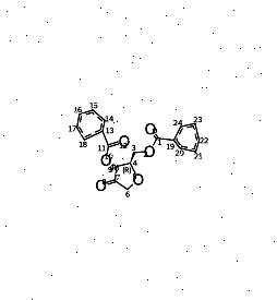 O=C(OC[C@H]1OCC(=O)[C@@H]1OC(=O)c1ccccc1)c1ccccc1